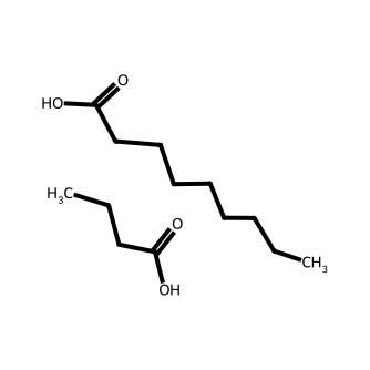 CCCC(=O)O.CCCCCCCCC(=O)O